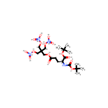 CC(C)(C)OC(=O)N[C@@H](CCC(=O)OCC(CO[N+](=O)[O-])(CO[N+](=O)[O-])CO[N+](=O)[O-])C(=O)OC(C)(C)C